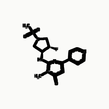 Cn1c(N[C@H]2CN(S(C)(=O)=O)C[C@@H]2F)nc(-c2ccncc2)cc1=O